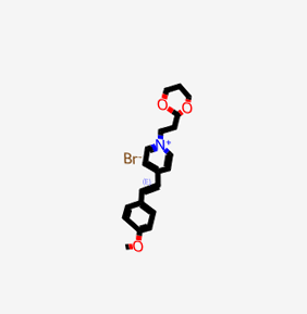 COc1ccc(/C=C/c2cc[n+](CCC3OCCCO3)cc2)cc1.[Br-]